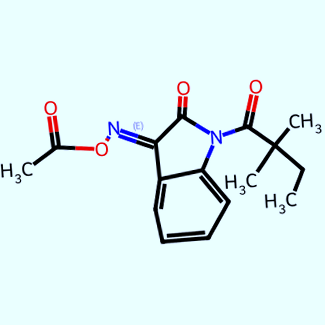 CCC(C)(C)C(=O)N1C(=O)/C(=N/OC(C)=O)c2ccccc21